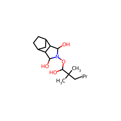 CC(C)CC(C)(C)C(O)ON1C(O)C2C3CCC(C3)C2C1O